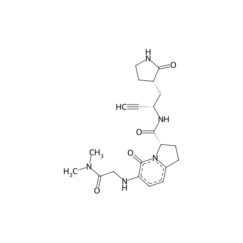 C#C[C@H](C[C@@H]1CCNC1=O)NC(=O)[C@@H]1CCc2ccc(NCC(=O)N(C)C)c(=O)n21